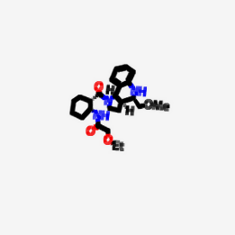 CCOCC(=O)N[C@@H]1CCCC[C@@H]1C(=O)N1CC[C@@H]2[C@H](COC)Nc3ccccc3[C@@H]21